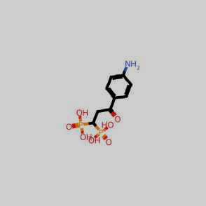 Nc1ccc(C(=O)CC(P(=O)(O)O)P(=O)(O)O)cc1